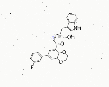 O=C(/C=C\[C@@H](CO)Cc1c[nH]c2ccccc12)C1=CC(c2cccc(F)c2)=CC2OCCOC12